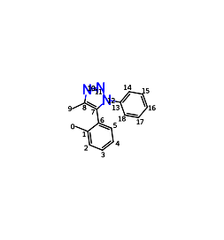 Cc1ccccc1-c1c(C)nnn1-c1ccccc1